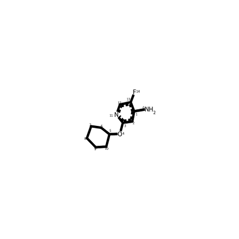 Nc1cc(OC2CCCCC2)ncc1F